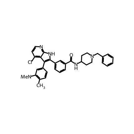 CNc1cc(-c2c(-c3cccc(C(=O)NC4CCN(Cc5ccccc5)CC4)c3)[nH]c3nccc(Cl)c23)ccc1C